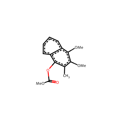 COC(=O)Oc1c(C)c(OC)c(OC)c2ccccc12